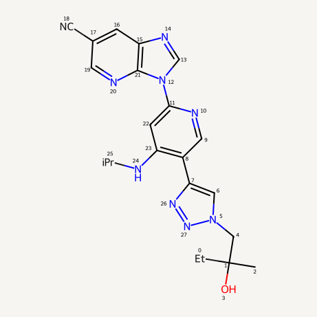 CCC(C)(O)Cn1cc(-c2cnc(-n3cnc4cc(C#N)cnc43)cc2NC(C)C)nn1